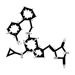 O=C1NC(=O)/C(=C/c2cnn3c(NC4CC4)nc(NCc4ccccc4-c4ccnc(C(F)(F)F)c4)nc23)N1